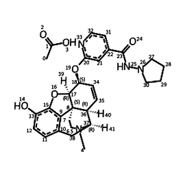 CC(=O)O.CN1CC[C@]23c4c5ccc(O)c4O[C@H]2[C@@H](Oc2cc(C(=O)NN4CCCC4)ccn2)C=C[C@H]3[C@H]1C5